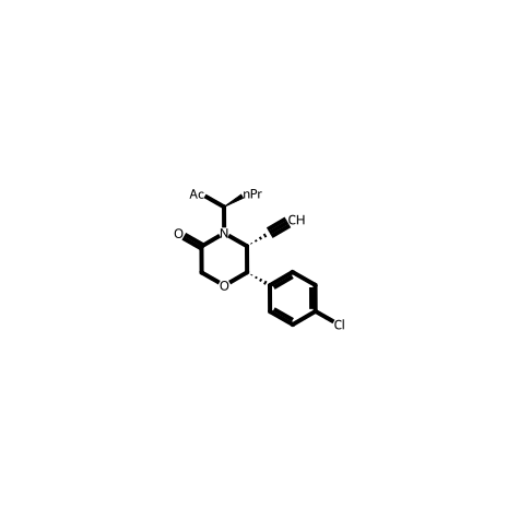 C#C[C@@H]1[C@H](c2ccc(Cl)cc2)OCC(=O)N1[C@H](CCC)C(C)=O